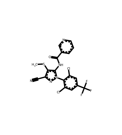 CSc1c(C#N)nn(-c2c(Cl)cc(C(F)(F)F)cc2Cl)c1NC(=O)c1cccnc1